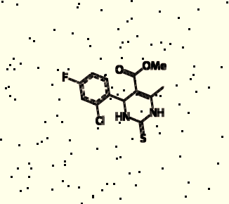 COC(=O)C1=C(C)NC(=S)NC1c1ccc(F)cc1Cl